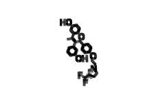 CC1=C(c2cccc(O)c2)C(c2ccc(OCCN3CC[C@@H](C(F)F)C3)cc2)Oc2ccc(O)cc21